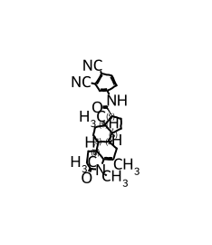 CC1=C2N(C)C(=O)CC[C@]2(C)[C@H]2CC[C@]3(C)[C@@H](C(=O)Nc4ccc(C#N)c(C#N)c4)CC[C@H]3[C@@H]2C1